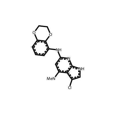 CNc1cc(Nc2cc[c]c3c2OCCO3)nc2[nH]cc(Cl)c12